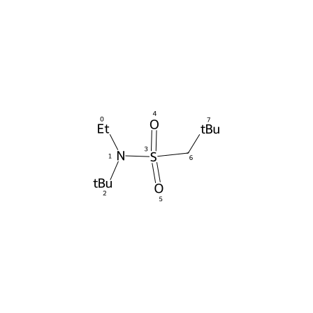 CCN(C(C)(C)C)S(=O)(=O)CC(C)(C)C